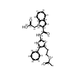 CC(=O)OCCc1sc(NC(=O)c2cc3ccccc3n2CC(=O)O)nc1-c1ccccc1